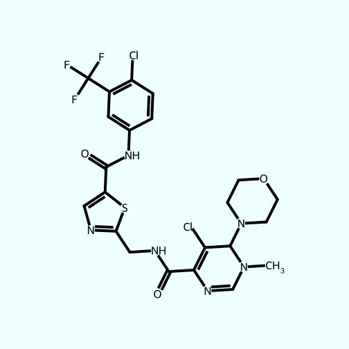 CN1C=NC(C(=O)NCc2ncc(C(=O)Nc3ccc(Cl)c(C(F)(F)F)c3)s2)=C(Cl)C1N1CCOCC1